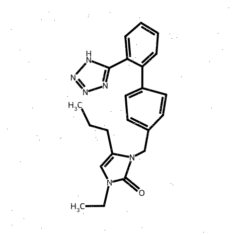 CCCc1cn(CC)c(=O)n1Cc1ccc(-c2ccccc2-c2nnn[nH]2)cc1